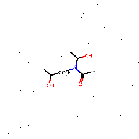 CC(O)C(=O)O.CCC(=O)N(C)C(C)O